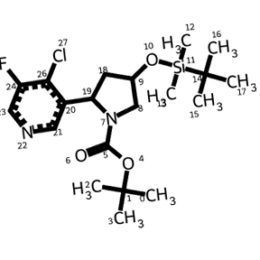 CC(C)(C)OC(=O)N1CC(O[Si](C)(C)C(C)(C)C)CC1c1cncc(F)c1Cl